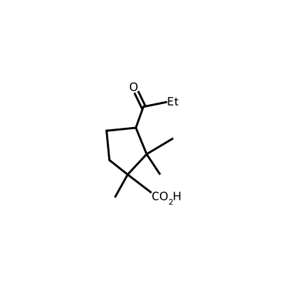 CCC(=O)C1CCC(C)(C(=O)O)C1(C)C